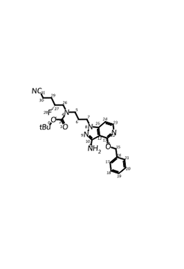 CC(C)(C)OC(=O)N(CCCn1nc(N)c2c(OCc3ccccc3)nccc21)C[C@H](F)CCC#N